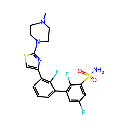 CN1CCN(c2nc(-c3cccc(-c4cc(F)cc(S(N)(=O)=O)c4F)c3F)cs2)CC1